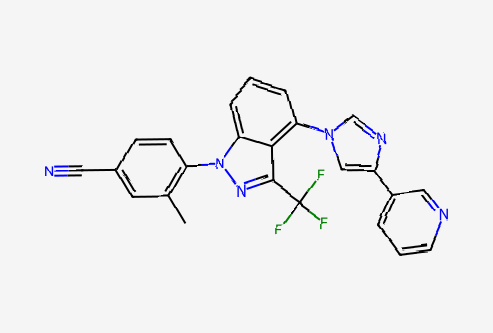 Cc1cc(C#N)ccc1-n1nc(C(F)(F)F)c2c(-n3cnc(-c4cccnc4)c3)cccc21